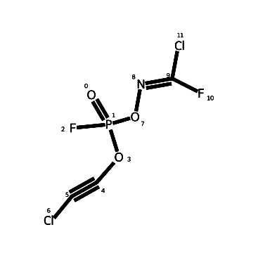 O=P(F)(OC#CCl)O/N=C(\F)Cl